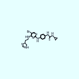 S=C(Nc1ccc(Nc2ncc(Br)c(NCCC3CNC=N3)n2)cc1)NC1CC1